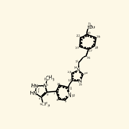 CN1NNC(C(F)(F)F)=C1c1ccnc(-c2cn(CCc3ccc(C(C)(C)C)cc3)cn2)c1